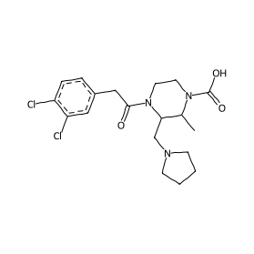 CC1C(CN2CCCC2)N(C(=O)Cc2ccc(Cl)c(Cl)c2)CCN1C(=O)O